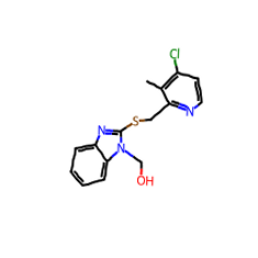 Cc1c(Cl)ccnc1CSc1nc2ccccc2n1CO